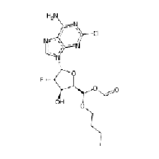 CCCCOC(OC=O)[C@@H]1O[C@@H](n2cnc3c(N)nc(Cl)nc32)[C@@H](F)[C@@H]1O